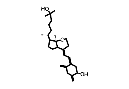 C=C1CC(=C)[C@H](O)C/C1=C/C=C1\CCC[C@@]2(C)C1CCC2[C@H](C)CCCC(C)(C)O